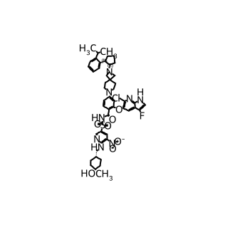 CC(C)c1ccccc1[C@H]1CCC[C@H]1N1CC2(CCN(c3ccc(C(=O)NS(=O)(=O)c4cnc(NC[C@H]5CC[C@](C)(O)CC5)c([N+](=O)[O-])c4)c(Oc4cc5c(F)c[nH]c5nc4Cl)c3)CC2)C1